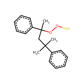 CC(C)(CC(C)(OOS)c1ccccc1)c1ccccc1